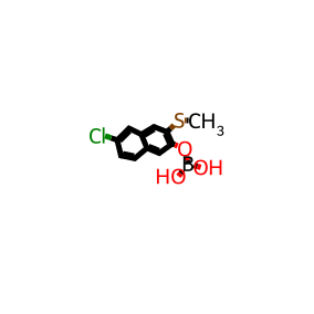 CSc1cc2cc(Cl)ccc2cc1OB(O)O